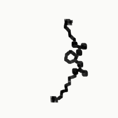 CC(C)CCCCCCCOC(=O)OC1CCCCC1OC(=O)OCCCCC(C)C